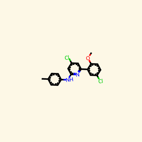 COc1ccc(Cl)cc1-c1cc(Cl)cc(Nc2ccc(C)cc2)n1